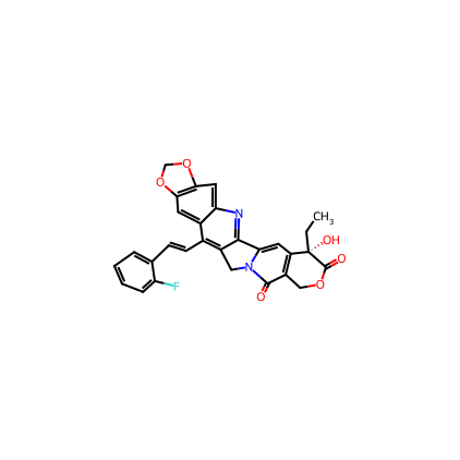 CC[C@@]1(O)C(=O)OCc2c1cc1n(c2=O)Cc2c-1nc1cc3c(cc1c2C=Cc1ccccc1F)OCO3